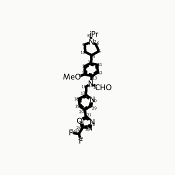 COc1cc(C2CCN(C(C)C)CC2)ccc1N(C=O)Cc1ccc(-c2nnc(C(F)F)o2)cn1